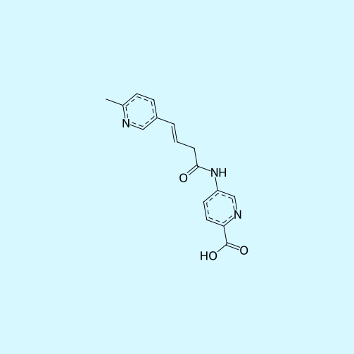 Cc1ccc(/C=C/CC(=O)Nc2ccc(C(=O)O)nc2)cn1